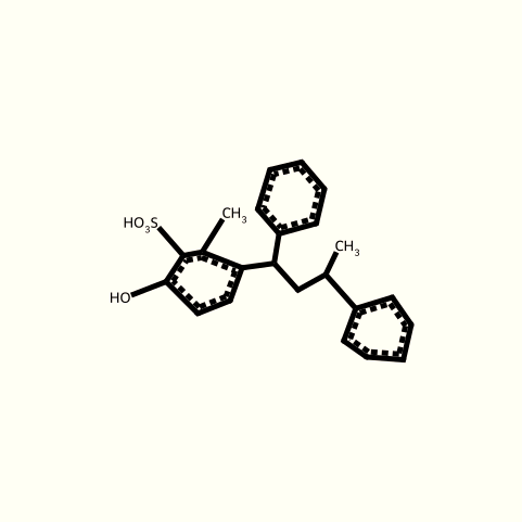 Cc1c(C(CC(C)c2ccccc2)c2ccccc2)ccc(O)c1S(=O)(=O)O